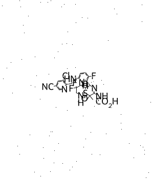 CC1(C)C(NC(=O)O)=N[C@](C)(c2nc(NCc3ncc(C#N)cc3Cl)ccc2F)[C@H]2CC(F)(F)CN[SH]21=O